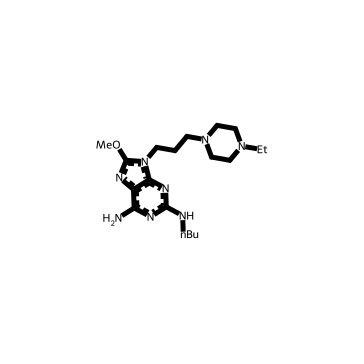 CCCCNc1nc(N)c2nc(OC)n(CCCN3CCN(CC)CC3)c2n1